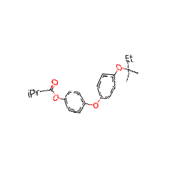 CCC(C)(C)Oc1ccc(Oc2ccc(OC(=O)C(C)C)cc2)cc1